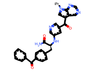 CC(C)n1cc(C(=O)c2cncc(N[C@@H](Cc3ccc(C(=O)c4ccccc4)cc3)C(N)=O)c2)c2cncnc21